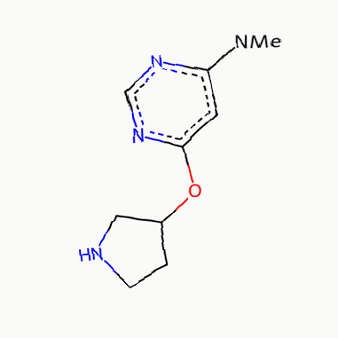 CNc1cc(OC2CCNC2)ncn1